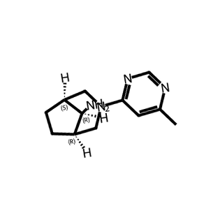 Cc1cc(N2C[C@H]3CC[C@@H](C2)[C@H]3N)ncn1